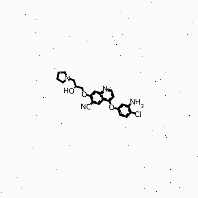 N#Cc1cc2c(Oc3ccc(Cl)c(N)c3)ccnc2cc1OC[C@@H](O)CN1CCCC1